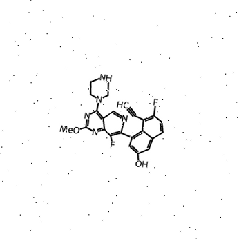 C#Cc1c(F)ccc2cc(O)cc(-c3ncc4c(N5CCNCC5)nc(OC)nc4c3F)c12